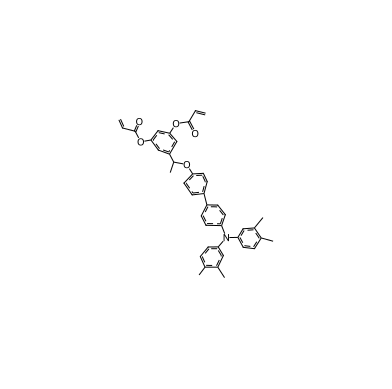 C=CC(=O)Oc1cc(OC(=O)C=C)cc(C(C)Oc2ccc(-c3ccc(N(c4ccc(C)c(C)c4)c4ccc(C)c(C)c4)cc3)cc2)c1